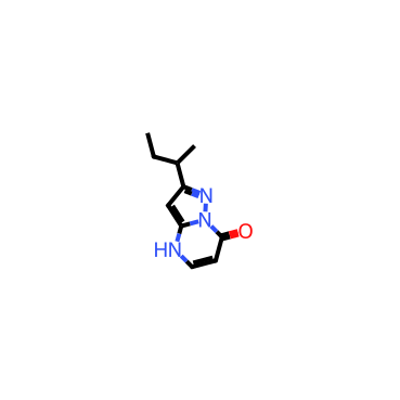 CCC(C)c1cc2[nH]ccc(=O)n2n1